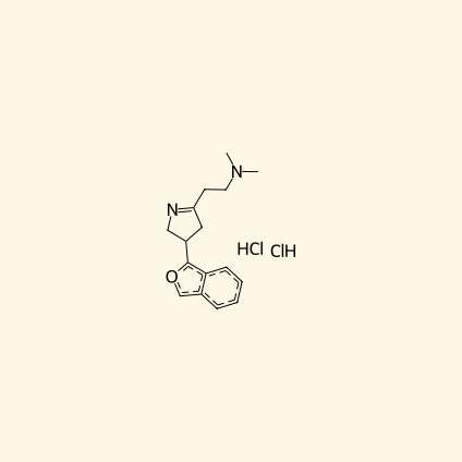 CN(C)CCC1=NCC(c2occ3ccccc23)C1.Cl.Cl